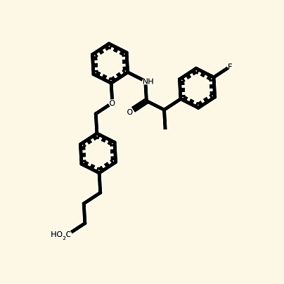 CC(C(=O)Nc1ccccc1OCc1ccc(CCCC(=O)O)cc1)c1ccc(F)cc1